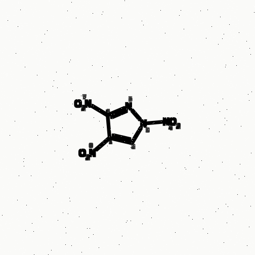 O=[N+]([O-])c1cn([N+](=O)[O-])nc1[N+](=O)[O-]